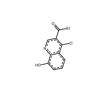 CCC(=O)c1cnc2c(O)cccc2c1Cl